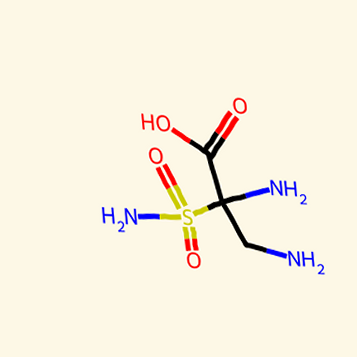 NCC(N)(C(=O)O)S(N)(=O)=O